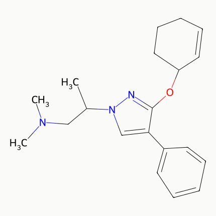 CC(CN(C)C)n1cc(-c2ccccc2)c(OC2C=CCCC2)n1